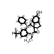 CCN1C(=O)C2(CCc3cc(O)ccc32)C(=O)N(c2ccccc2)c2cc(C(F)(F)F)ccc21